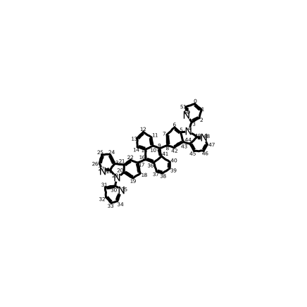 c1ccc(-n2c3ccc(-c4c5ccccc5c(-c5ccc6c(c5)c5cccnc5n6-c5ccccn5)c5ccccc45)cc3c3cccnc32)nc1